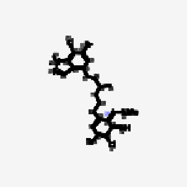 CN/C=C1\C(=N)C(Cl)=C(Br)C=C1CCCC(C)CCc1cc(Br)c(Cl)c2c1cnn2C